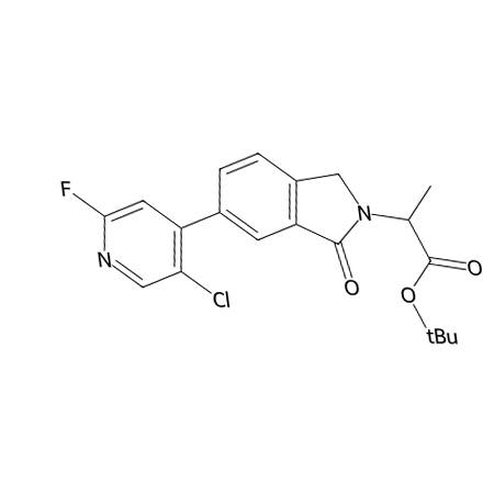 CC(C(=O)OC(C)(C)C)N1Cc2ccc(-c3cc(F)ncc3Cl)cc2C1=O